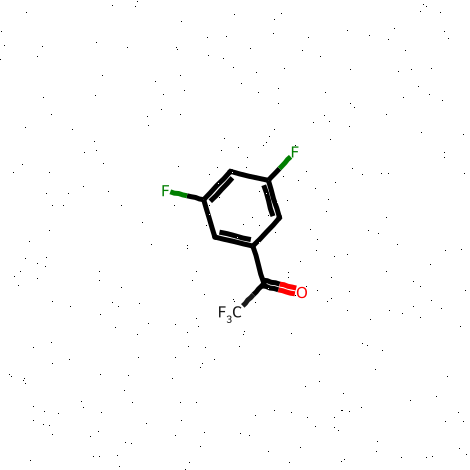 O=C(c1cc(F)cc(F)c1)C(F)(F)F